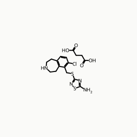 Nc1nc(SCc2c(Cl)ccc3c2CCNCC3)ns1.O=C(O)CCC(=O)O